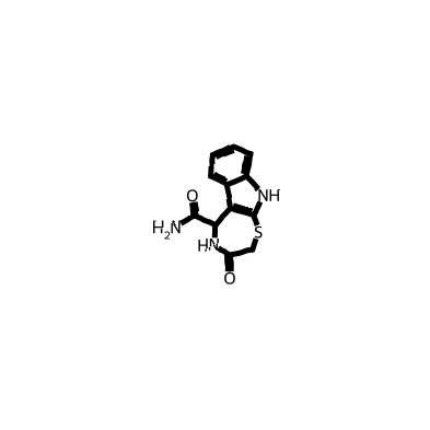 NC(=O)C1NC(=O)CSc2[nH]c3ccccc3c21